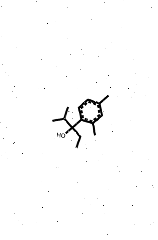 CCC(O)(c1ccc(C)cc1C)C(C)C